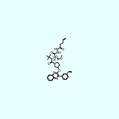 C=CCCC(=O)NNC(=O)N[C@H](C(=O)N1CC(Oc2nc3ccccc3nc2-c2cccc(C=C)c2)C[C@H]1C(=O)OC)C(C)(C)C